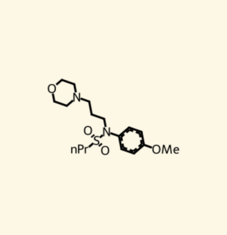 CCCS(=O)(=O)N(CCCN1CCOCC1)c1ccc(OC)cc1